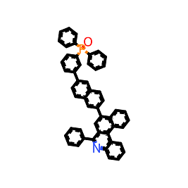 O=P(c1ccccc1)(c1ccccc1)c1cccc(-c2ccc3cc(-c4cc5c(-c6ccccc6)nc6ccccc6c5c5ccccc45)ccc3c2)c1